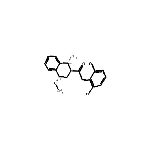 CO[C@H]1CN(C(=O)Cc2c(Cl)cccc2Cl)[C@@H](C)c2ccccc21